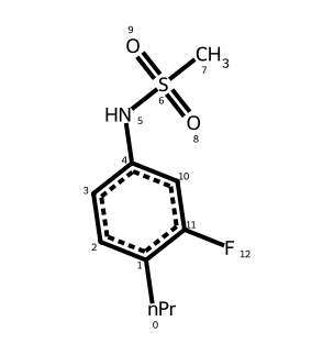 CCCc1ccc(NS(C)(=O)=O)cc1F